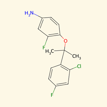 CC(C)(Oc1ccc(N)cc1F)c1ccc(F)cc1Cl